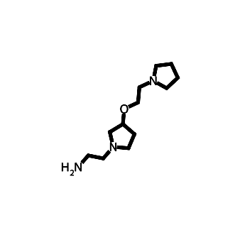 NCCN1CCC(OCCN2CCCC2)C1